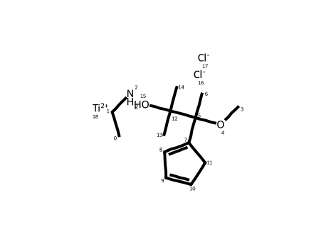 CCN.COC(C)(C1=CC=CC1)C(C)(C)O.[Cl-].[Cl-].[Ti+2]